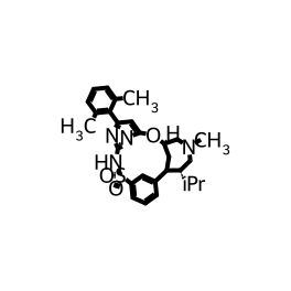 Cc1cccc(C)c1-c1cc2nc(n1)NS(=O)(=O)c1cccc(c1)C1C[C@@H](CN(C)C[C@@H]1C(C)C)O2